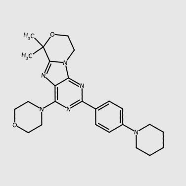 CC1(C)OCCn2c1nc1c(N3CCOCC3)nc(-c3ccc(N4CCCCC4)cc3)nc12